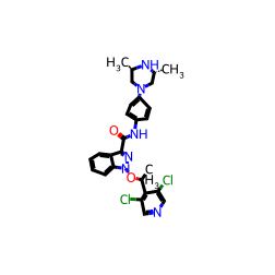 CC(On1nc(C(=O)Nc2ccc(N3C[C@@H](C)N[C@@H](C)C3)cc2)c2ccccc21)c1c(Cl)cncc1Cl